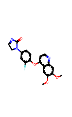 COc1cc2nccc(Oc3ccc(N4CC=NC4=O)cc3F)c2cc1OC